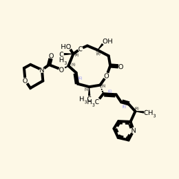 C/C(=C\C=C\[C@@H](C)c1ccccn1)[C@H]1OC(=O)C[C@H](O)CC[C@@](C)(O)[C@@H](OC(=O)N2CCOCC2)/C=C/[C@@H]1C